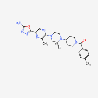 CC[C@H]1CN(c2ncc(-c3nnc(N)o3)nc2C)CCN1C1CCN(C(=O)c2ccc(C(F)(F)F)cc2)CC1